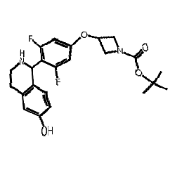 CC(C)(C)OC(=O)N1CC(Oc2cc(F)c(C3NCCc4cc(O)ccc43)c(F)c2)C1